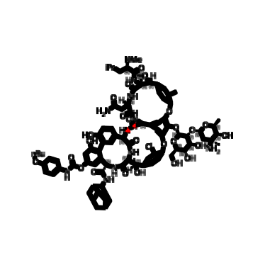 CCCCOc1ccc(NC(=O)Oc2cc(O)c3c(c2)[C@@H](C(=O)NC2C4CC5CC(C4)CC2C5)NC(=O)[C@H]2NC(=O)[C@H](NC(=O)[C@@H]4NC(=O)[C@H](CC(N)=O)NC(=O)[C@H](NC(=O)[C@@H](CC(C)C)NC)[C@H](O)C5=CC(C)=C(CC5)Oc5cc4cc(c5O[C@@H]4O[C@H](CO)[C@@H](O)[C@H](O)[C@H]4O[C@H]4C[C@](C)(N)[C@H](O)[C@H](C)O4)Oc4ccc(cc4Cl)[C@H]2O)c2ccc(O)c-3c2)cc1